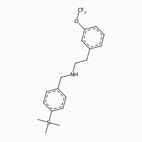 C[Si](C)(C)c1ccc(CNCCc2cccc(OC(F)(F)F)c2)cc1